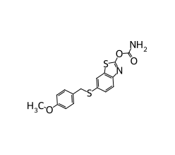 COc1ccc(CSc2ccc3nc(OC(N)=O)sc3c2)cc1